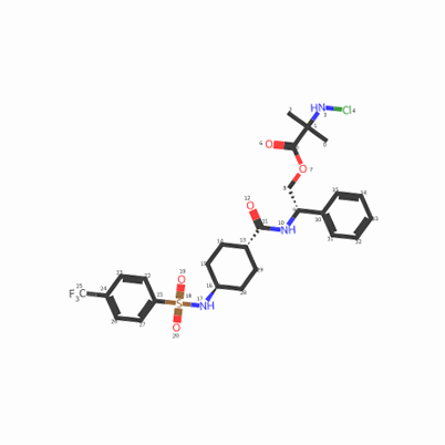 CC(C)(NCl)C(=O)OC[C@@H](NC(=O)[C@H]1CC[C@H](NS(=O)(=O)c2ccc(C(F)(F)F)cc2)CC1)c1ccccc1